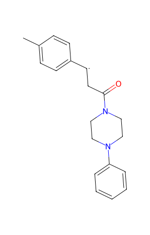 Cc1ccc([CH]CC(=O)N2CCN(c3ccccc3)CC2)cc1